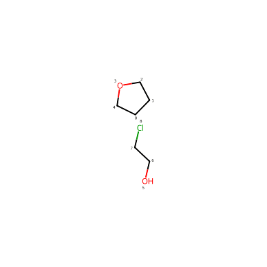 C1CCOC1.OCCCl